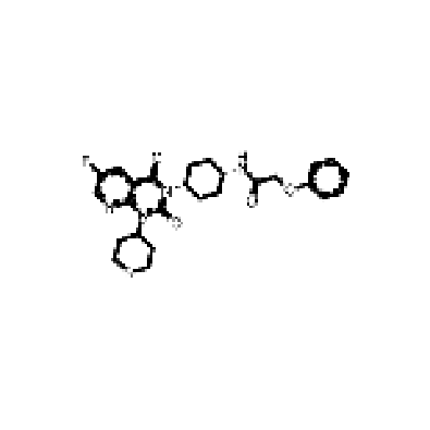 O=C(COc1ccccc1)N[C@H]1CC[C@@H](n2c(=O)c3cc(F)cnc3n(C3CCSCC3)c2=O)CC1